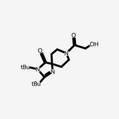 CC(C)(C)C1=NC2(CCN(C(=O)CO)CC2)C(=O)N1C(C)(C)C